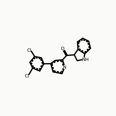 O=C(c1cc(-c2cc(Cl)cc(Cl)c2)ccn1)C1CNc2ccccc21